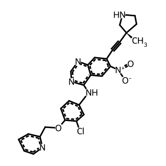 C[C@]1(C#Cc2cc3ncnc(Nc4ccc(OCc5ccccn5)c(Cl)c4)c3cc2[N+](=O)[O-])CCNC1